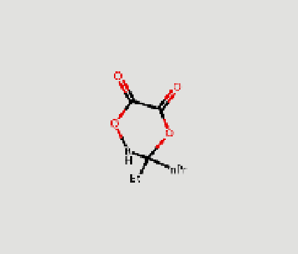 CCCC1(CC)BOC(=O)C(=O)O1